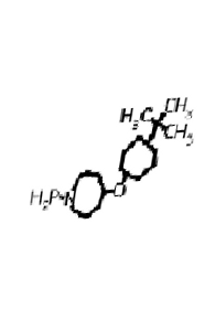 CC(C)(C)C1CCCC(OC2CCCN(P)CCC2)CCC1